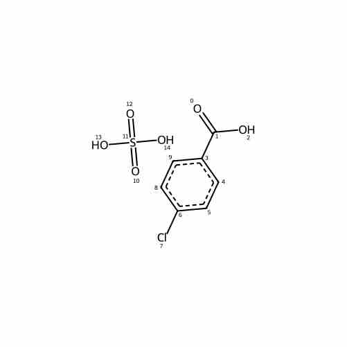 O=C(O)c1ccc(Cl)cc1.O=S(=O)(O)O